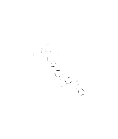 CCCOC12CC3(Cn4ncc(-c5ccc(N6CCCc7c6nnc(Nc6nc8ccccc8s6)c7C)nc5C(=O)O)c4C)CC4(C)CC(C)(C1)C42C3